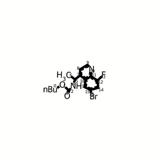 CCCCOC(=O)NC(C)c1ccnc2c(F)cc(Br)cc12